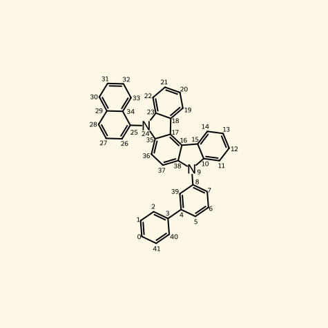 c1ccc(-c2cccc(-n3c4ccccc4c4c5c6ccccc6n(-c6cccc7ccccc67)c5ccc43)c2)cc1